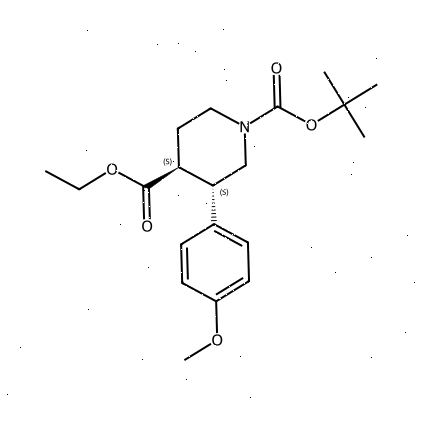 CCOC(=O)[C@H]1CCN(C(=O)OC(C)(C)C)C[C@@H]1c1ccc(OC)cc1